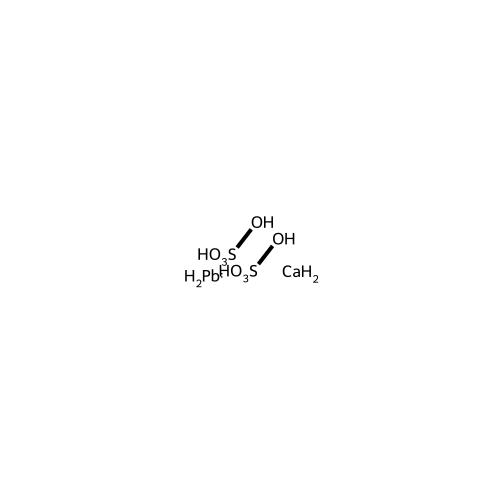 O=S(=O)(O)O.O=S(=O)(O)O.[CaH2].[PbH2]